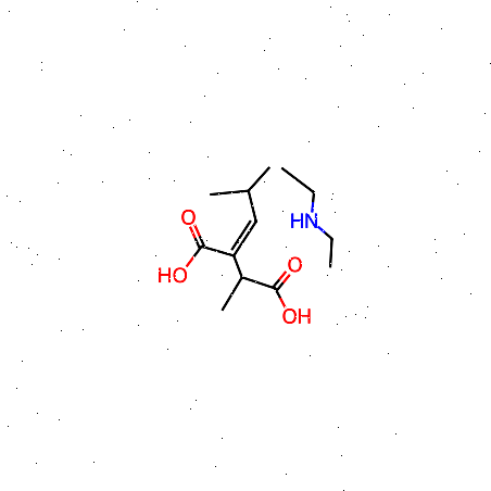 CC(C)C=C(C(=O)O)C(C)C(=O)O.CCNCC